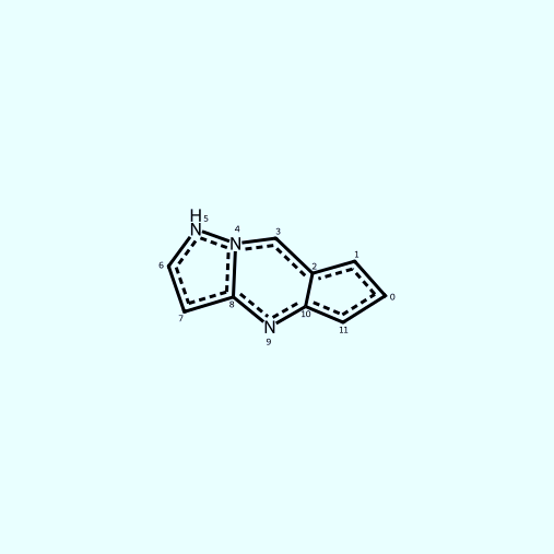 c1cc2cn3[nH]ccc3nc-2c1